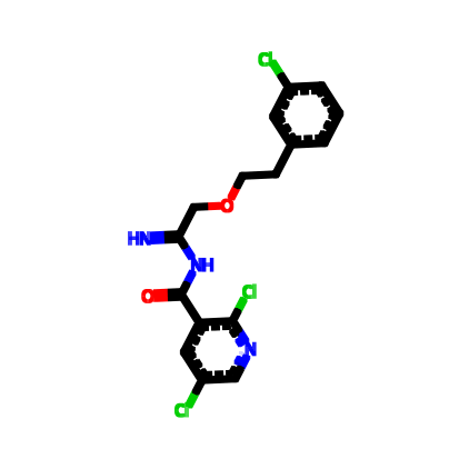 N=C(COCCc1cccc(Cl)c1)NC(=O)c1cc(Cl)cnc1Cl